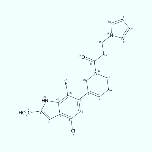 O=C(O)c1cc2c(Cl)cc(C3=CCCN(C(=O)CCn4cccn4)C3)c(F)c2[nH]1